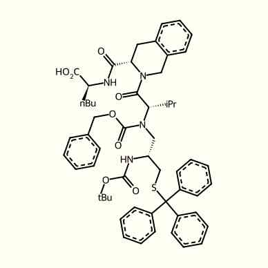 CCCC[C@H](NC(=O)[C@@H]1Cc2ccccc2CN1C(=O)[C@H](C(C)C)N(C[C@H](CSC(c1ccccc1)(c1ccccc1)c1ccccc1)NC(=O)OC(C)(C)C)C(=O)OCc1ccccc1)C(=O)O